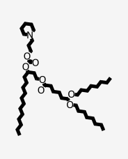 CCCCCCCCCCCCC(CCOC(=O)CCCCC(OCCCCCCCC)OCCCCCCCC)OC(=O)OCCCN1CCCCC1